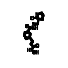 O=C(/C=C/c1cccc(C(=O)N/N=C/c2cccnc2Cl)c1)NO